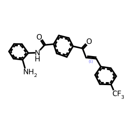 Nc1ccccc1NC(=O)c1ccc(C(=O)/C=C/c2ccc(C(F)(F)F)cc2)cc1